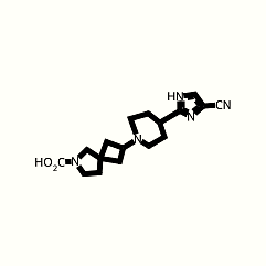 N#Cc1c[nH]c(C2CCN(C3CC4(CCN(C(=O)O)C4)C3)CC2)n1